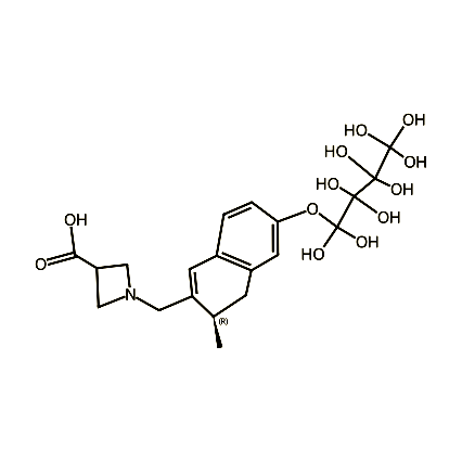 C[C@@H]1Cc2cc(OC(O)(O)C(O)(O)C(O)(O)C(O)(O)O)ccc2C=C1CN1CC(C(=O)O)C1